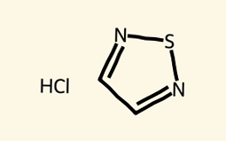 Cl.c1cnsn1